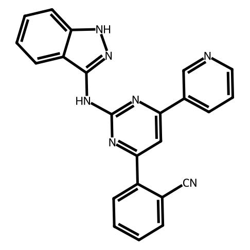 N#Cc1ccccc1-c1cc(-c2cccnc2)nc(Nc2n[nH]c3ccccc23)n1